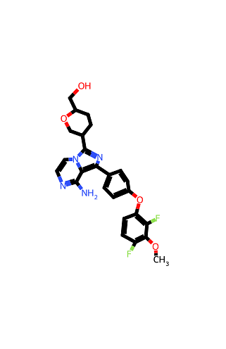 COc1c(F)ccc(Oc2ccc(-c3nc(C4CCC(CO)OC4)n4ccnc(N)c34)cc2)c1F